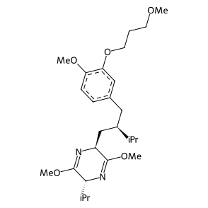 COCCCOc1cc(C[C@H](C[C@@H]2N=C(OC)[C@@H](C(C)C)N=C2OC)C(C)C)ccc1OC